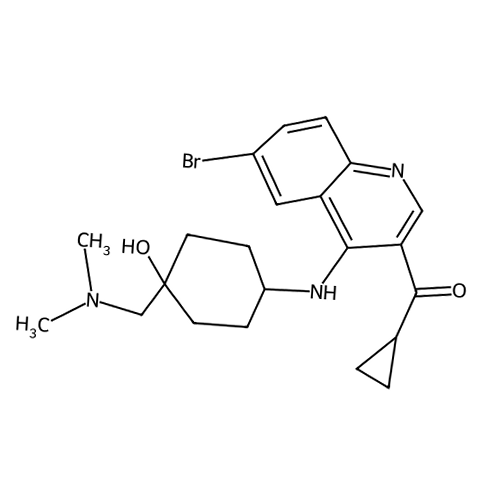 CN(C)CC1(O)CCC(Nc2c(C(=O)C3CC3)cnc3ccc(Br)cc23)CC1